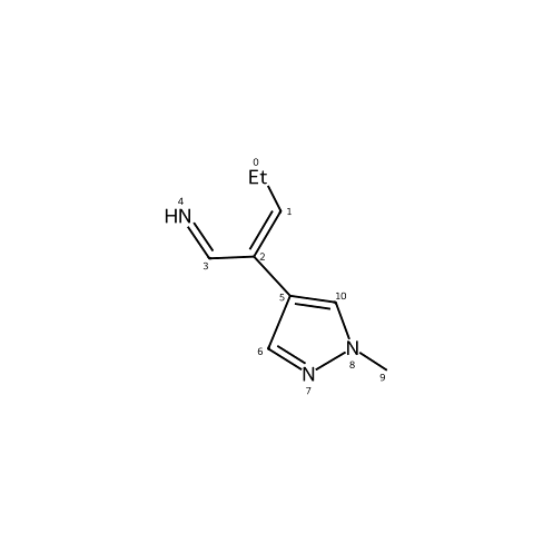 CC/C=C(\C=N)c1cnn(C)c1